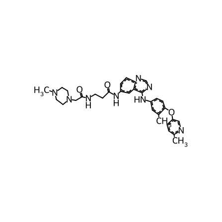 Cc1ccc(Oc2ccc(Nc3ncnc4ccc(NC(=O)CCNC(=O)CN5CCN(C)CC5)cc34)cc2C)cn1